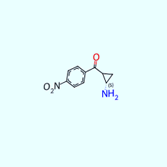 N[C@H]1CC1C(=O)c1ccc([N+](=O)[O-])cc1